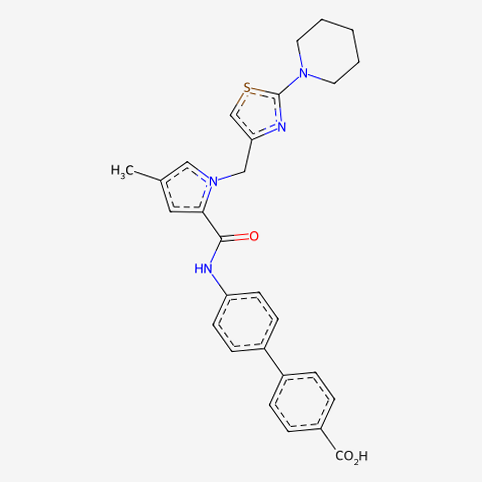 Cc1cc(C(=O)Nc2ccc(-c3ccc(C(=O)O)cc3)cc2)n(Cc2csc(N3CCCCC3)n2)c1